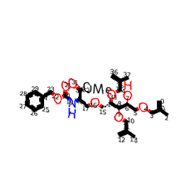 C=C(C)COC[C@@H](O)[C@H](OCC(=C)C)[C@H](COCC(NC(=O)OCc1ccccc1)C(=O)OC)OCC(=C)C